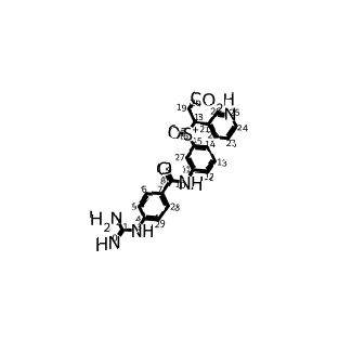 N=C(N)Nc1ccc(C(=O)Nc2cccc([S+]([O-])C(CC(=O)O)c3cccnc3)c2)cc1